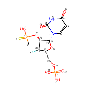 CP(O)(=S)O[C@@H]1[C@H](F)[C@@H](COP(=O)(O)O)O[C@H]1n1ccc(=O)[nH]c1=O